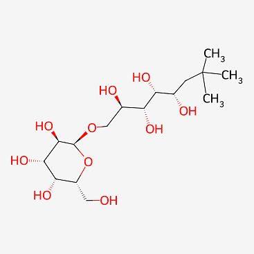 CC(C)(C)C[C@H](O)[C@@H](O)[C@H](O)[C@H](O)CO[C@H]1O[C@H](CO)[C@H](O)[C@H](O)[C@H]1O